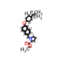 COC(=O)[C@@H]1CCCN1Cc1ccc2cc(OC3CCC(C(C)(C)C)CC3)ccc2c1